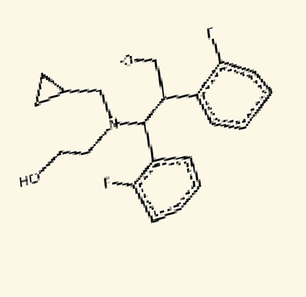 [O]CC(c1ccccc1F)C(c1ccccc1F)N(CCO)CC1CC1